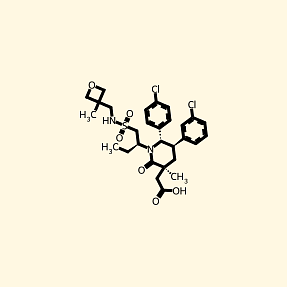 CC[C@@H](CS(=O)(=O)NCC1(C)COC1)N1C(=O)[C@](C)(CC(=O)O)C[C@H](c2cccc(Cl)c2)[C@H]1c1ccc(Cl)cc1